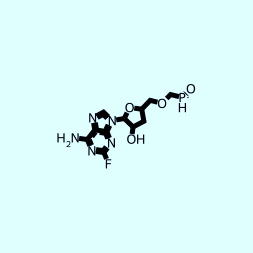 Nc1nc(F)nc2c1ncn2C1OC(COC[PH]=O)CC1O